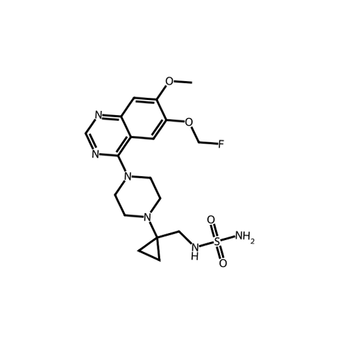 COc1cc2ncnc(N3CCN(C4(CNS(N)(=O)=O)CC4)CC3)c2cc1OCF